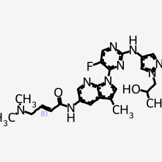 Cc1cn(-c2nc(Nc3cnn(CC(C)O)c3)ncc2F)c2ncc(NC(=O)/C=C/CN(C)C)cc12